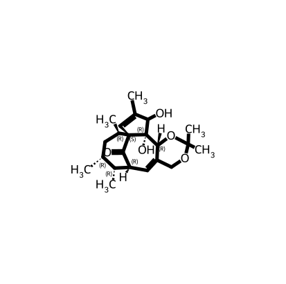 CC1=C[C@]23C(=O)[C@@H](C=C4COC(C)(C)O[C@H]4[C@]2(O)C1O)[C@H](C)[C@H](C)C[C@H]3C